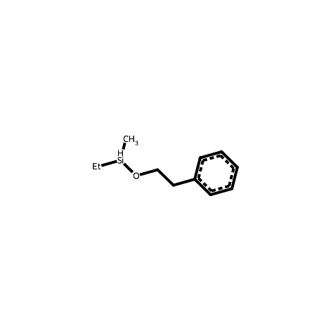 CC[SiH](C)OCCc1ccccc1